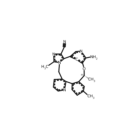 Cc1ccc2c(c1)[C@@H](C)Oc1cc(cnc1N)-c1c(C#N)nc(C)n1Cc1cccnc1-2